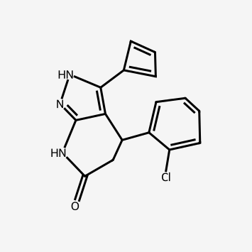 O=C1CC(c2ccccc2Cl)c2c(n[nH]c2C2=CC=C2)N1